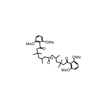 COc1cccc(OC)c1C(=O)CC(C)(C)CC(C)C[PH](=O)CC(C)CC(C)(C)CC(=O)c1c(OC)cccc1OC